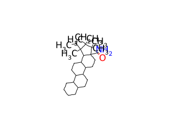 C=C(C)C1(C)C2C3CCC4C5CCCCC5CCC4C3CCC2(C(N)=O)C(C)(C)C1(C)C